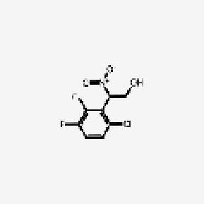 O=[N+]([O-])C(CO)c1c(Cl)ccc(F)c1Cl